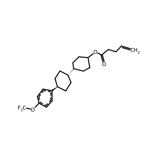 C=CCCC(=O)OC1CCC([C@H]2CC[C@H](c3ccc(OC(F)(F)F)cc3)CC2)CC1